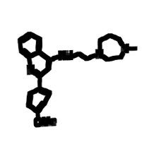 COc1ccc(-c2cc(NCCCN3CCCN(C)CC3)c3ccccc3n2)cc1